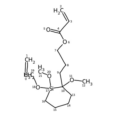 C=C.C=CC(=O)OCCCC1(OC)CCCC[Si]1(OC)OC